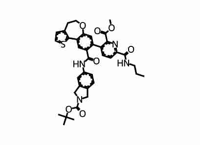 CCCNC(=O)c1ccc(-c2cc3c(cc2C(=O)Nc2ccc4c(c2)CN(C(=O)OC(C)(C)C)C4)-c2sccc2CCO3)c(C(=O)OC)n1